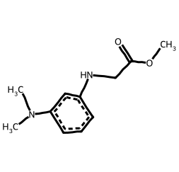 COC(=O)CNc1cccc(N(C)C)c1